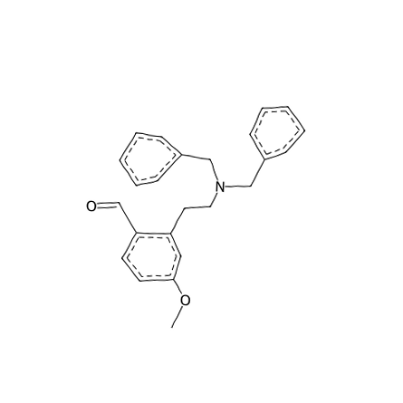 COc1ccc(C=O)c(CCN(Cc2ccccc2)Cc2ccccc2)c1